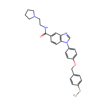 O=C(NCCN1CCCC1)c1ccc2c(c1)ncn2-c1ccc(OCc2ccc(SC(F)(F)F)cc2)cc1